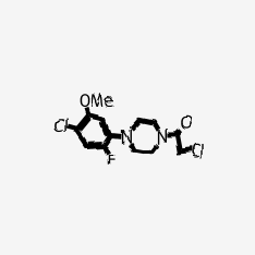 COc1cc(N2CCN(C(=O)CCl)CC2)c(F)cc1Cl